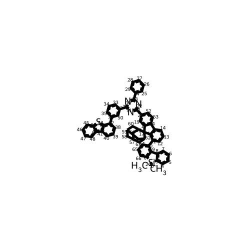 C[Si]1(C)c2ccccc2-c2c(-c3cccc4c3C3(c5cc(-c6nc(-c7ccccc7)nc(-c7cccc(-c8cccc9c8sc8ccccc89)c7)n6)ccc5-4)C4CC5CC(C4)CC3C5)cccc21